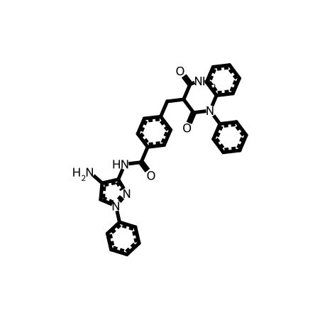 NC(=O)C(Cc1ccc(C(=O)Nc2nn(-c3ccccc3)cc2N)cc1)C(=O)N(c1ccccc1)c1ccccc1